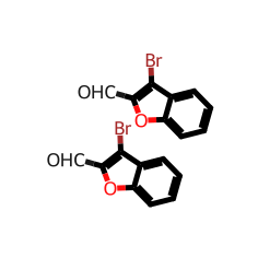 O=Cc1oc2ccccc2c1Br.O=Cc1oc2ccccc2c1Br